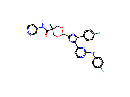 CC1(C(=O)Nc2ccncc2)COC(c2nc(-c3ccc(F)cc3)c(-c3ccnc(Nc4ccc(F)cc4)n3)[nH]2)OC1